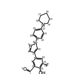 O=Cc1cc(-c2cnn(-c3ccc(N4CCCCC4)cc3)c2)cc(F)c1O